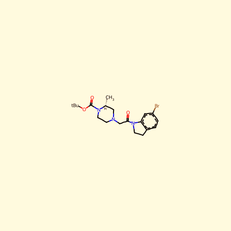 C[C@@H]1CN(CC(=O)N2CCc3ccc(Br)cc32)CCN1C(=O)OC(C)(C)C